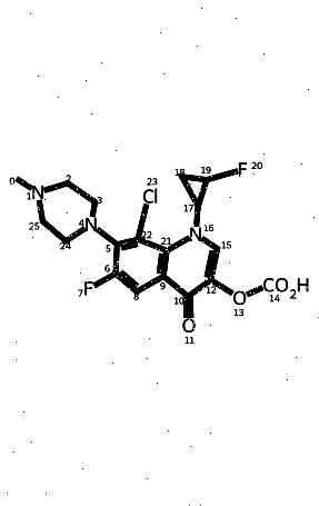 CN1CCN(c2c(F)cc3c(=O)c(OC(=O)O)cn(C4CC4F)c3c2Cl)CC1